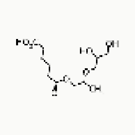 CC(COC(=O)CCCCC(=O)O)OCC(O)CO